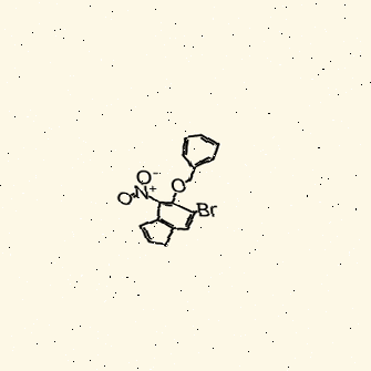 O=[N+]([O-])c1c2c(cc(Br)c1OCc1ccccc1)CC=C2